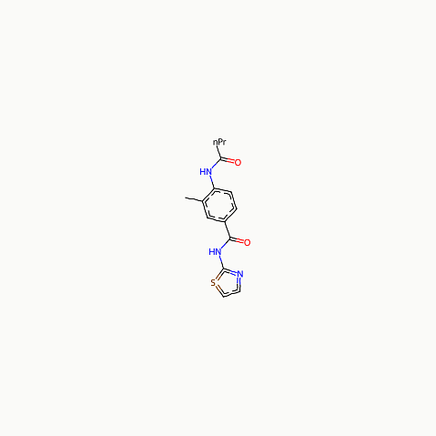 CCCC(=O)Nc1ccc(C(=O)Nc2nccs2)cc1C